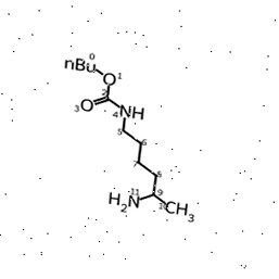 CCCCOC(=O)NCCCCC(C)N